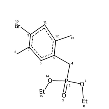 CCOP(=O)(Cc1cc(C)c(Br)cc1C)OCC